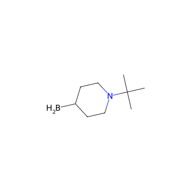 BC1CCN(C(C)(C)C)CC1